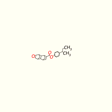 CCC(C)c1ccc(OC(=O)C2CC3CC2C2C4CC(C5OC45)C32)cc1